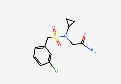 NC(=O)CN(C1CC1)S(=O)(=O)Cc1cccc(Cl)c1